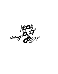 CNC(=O)COc1cccc(Nc2ncc(F)c(Nc3ccc4c(c3)NC(=O)C(F)(F)O4)n2)c1.O=C(O)c1ccc2ccccc2c1O